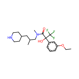 CCOc1cccc(C(O)(C(=O)N(C)CC(C)CC2CCNCC2)C(F)(F)F)c1